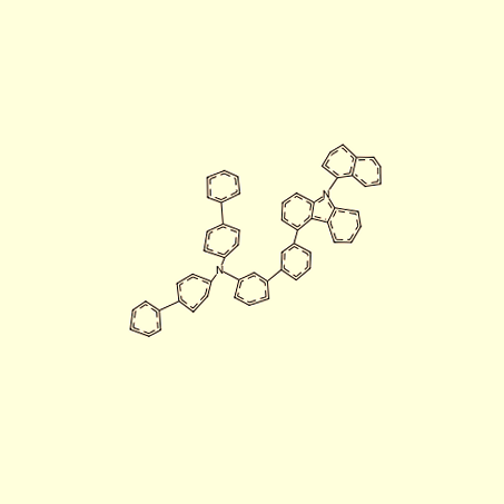 c1ccc(-c2ccc(N(c3ccc(-c4ccccc4)cc3)c3cccc(-c4cccc(-c5cccc6c5c5ccccc5n6-c5cccc6ccccc56)c4)c3)cc2)cc1